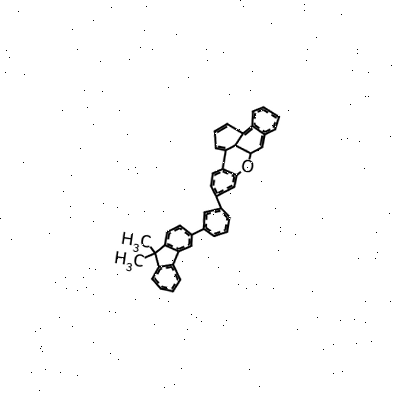 CC1(C)c2ccccc2-c2cc(-c3cccc(-c4ccc5c(c4)OC4C=c6ccccc6=C6C=CC=C5C64)c3)ccc21